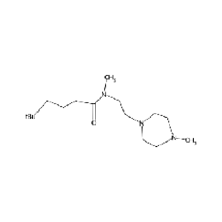 CN1CCN(CCN(C)C(=O)CCCC(C)(C)C)CC1